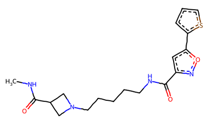 CNC(=O)C1CN(CCCCCNC(=O)c2cc(-c3cccs3)on2)C1